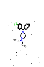 O=CCN(C(=O)O)N1CCCN(C(c2ccccc2)c2ccc(Cl)cc2)CC1